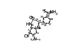 CN(C)c1cc2c(cc1Cl)NC(=O)CC(c1cccc(C(N)=S)c1)=N2